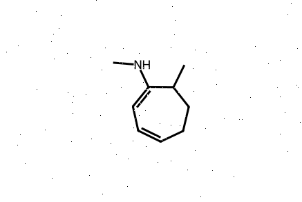 CNC1=CC=CCCC1C